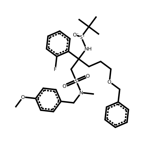 COc1ccc(CN(C)S(=O)(=O)CC(CCCOCc2ccccc2)(N[S+]([O-])C(C)(C)C)c2ccccc2F)cc1